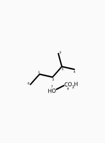 CCCC(C)C.O=C(O)O